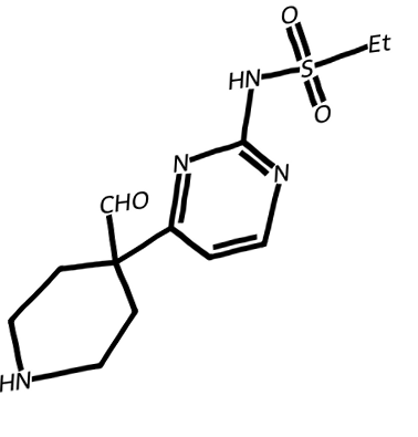 CCS(=O)(=O)Nc1nccc(C2(C=O)CCNCC2)n1